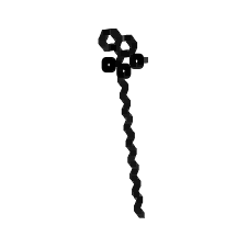 CCCCCCCCCCCCCCCCCCOC(=O)c1c(OC)ccc2ccccc12